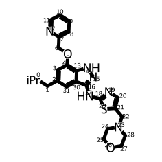 CC(C)Cc1cc(OCc2ccccn2)c2[nH]nc(Nc3ncc(CN4CCOCC4)s3)c2c1